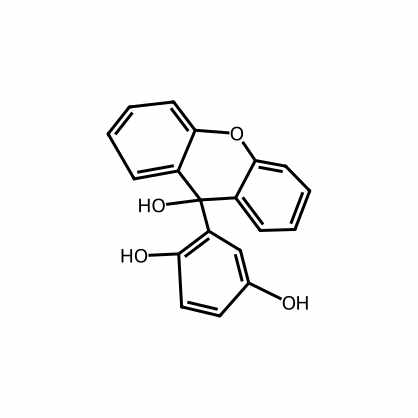 Oc1ccc(O)c(C2(O)c3ccccc3Oc3ccccc32)c1